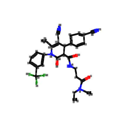 CCN(C)C(=O)CCNC(=O)C1C(=O)N(c2cccc(C(F)(F)F)c2)C(C)=C(C#N)C1c1ccc(C#N)cc1